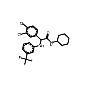 O=C(NC1CCCCC1)C(Nc1cccc(C(F)(F)F)c1)c1ccc(Cl)c(Cl)c1